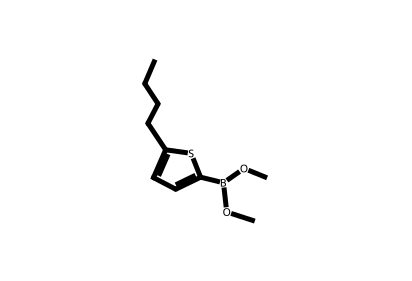 CCCCc1ccc(B(OC)OC)s1